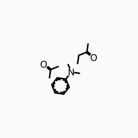 CC(C)=O.CCC(C)=O.CN(C)c1ccccc1